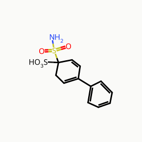 NS(=O)(=O)C1(S(=O)(=O)O)C=CC(c2ccccc2)=CC1